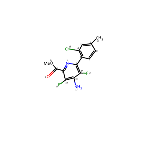 COC(=O)c1nc(-c2ccc(C)cc2Cl)c(F)c(N)c1F